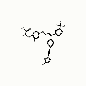 Cc1ccc(C#Cc2ccc(/C(=C\COc3ccc(OC(C)C(=O)O)c(C)c3)c3cccc(C(F)(F)F)c3)cc2)s1